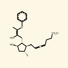 C/C(Oc1ccccc1)=C(\O)C[C@@H]1[C@@H](CC=C=CCCC(=O)O)[C@H](F)C[C@H]1O